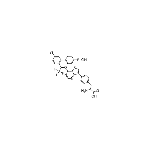 Cl.NC(Cc1ccc(-c2csc3c(OC(c4ccc(Cl)cc4-c4ccc(F)cc4)C(F)(F)F)ncnc23)cc1)C(=O)O